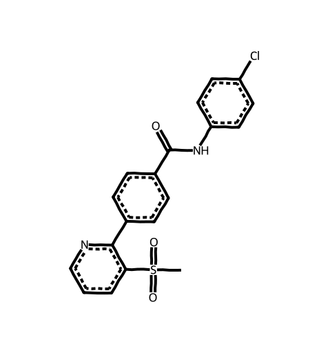 CS(=O)(=O)c1cccnc1-c1ccc(C(=O)Nc2ccc(Cl)cc2)cc1